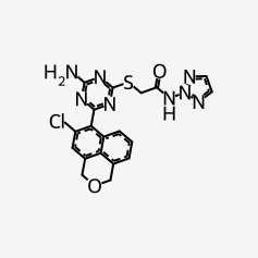 Nc1nc(SCC(=O)Nn2nccn2)nc(-c2c(Cl)cc3c4c(cccc24)COC3)n1